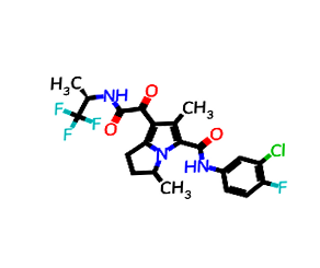 Cc1c(C(=O)C(=O)N[C@H](C)C(F)(F)F)c2n(c1C(=O)Nc1ccc(F)c(Cl)c1)C(C)CC2